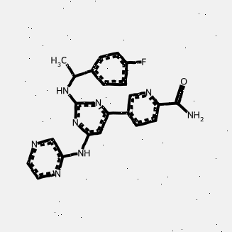 CC(Nc1nc(Nc2cnccn2)cc(-c2ccc(C(N)=O)nc2)n1)c1ccc(F)cc1